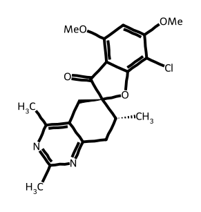 COc1cc(OC)c2c(c1Cl)O[C@@]1(Cc3c(C)nc(C)nc3C[C@H]1C)C2=O